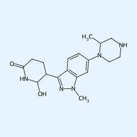 CC1CNCCN1c1ccc2c(C3CCC(=O)NC3O)nn(C)c2c1